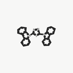 c1ccc2c(c1)c1ccccc1n2-c1nnc(-n2c3ccccc3c3ccccc32)s1